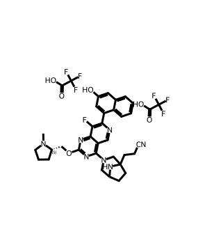 CN1CCC[C@H]1COc1nc(N2CC3CCC(CCC#N)(C2)N3)c2cnc(-c3cc(O)cc4ccccc34)c(F)c2n1.O=C(O)C(F)(F)F.O=C(O)C(F)(F)F